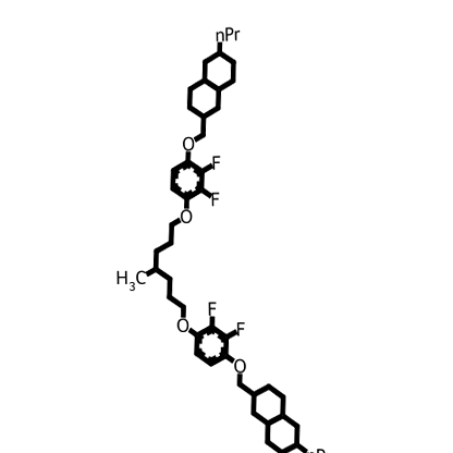 CCCC1CCC2CC(COc3ccc(OCCCC(C)CCCOc4ccc(OCC5CCC6CC(CCC)CCC6C5)c(F)c4F)c(F)c3F)CCC2C1